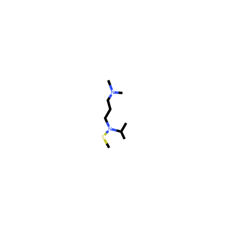 CSN(CCCN(C)C)C(C)C